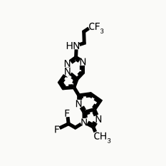 Cc1nc2ccc(-c3ccn4nc(NCCC(F)(F)F)ncc34)nc2n1CC(F)F